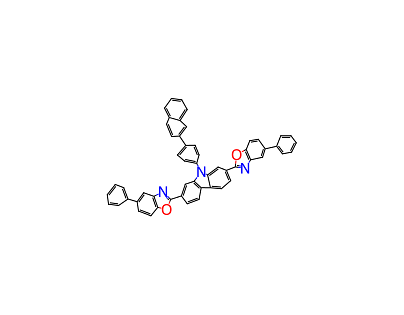 c1ccc(-c2ccc3oc(-c4ccc5c6ccc(-c7nc8cc(-c9ccccc9)ccc8o7)cc6n(-c6ccc(-c7ccc8ccccc8c7)cc6)c5c4)nc3c2)cc1